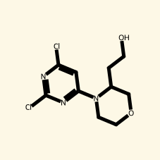 OCCC1COCCN1c1cc(Cl)nc(Cl)n1